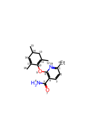 CCc1ccc(C(N)=O)c(OC2=C(C)CC(C)C=C2C)n1